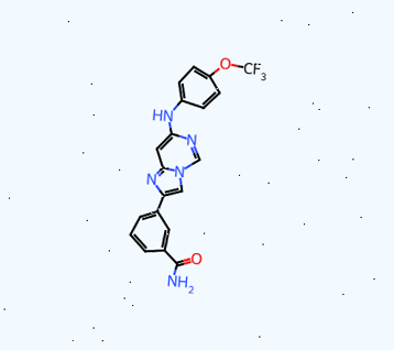 NC(=O)c1cccc(-c2cn3cnc(Nc4ccc(OC(F)(F)F)cc4)cc3n2)c1